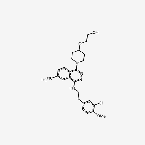 COc1ccc(CCNc2nnc(N3CCC(OCCO)CC3)c3ccc(C#N)cc23)cc1Cl.Cl